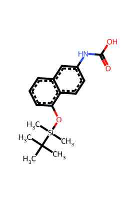 CC(C)(C)[Si](C)(C)Oc1cccc2cc(NC(=O)O)ccc12